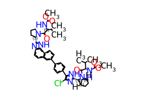 COC(=O)NC(C(=O)N1[C@@H]2CC[C@@H](C2)[C@H]1c1nc(Cl)c(-c2ccc(-c3ccc4c(ccc5nc([C@@H]6CCCN6C(=O)[C@@H](NC(=O)OC)C(C)C)[nH]c54)c3)cc2)[nH]1)C(C)C